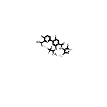 Cc1n[nH]c(Cl)c1NC(=O)c1cc(F)c(-c2ccc(F)c([C@@H](C)O)n2)cc1OC(C)C(F)(F)F